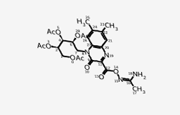 CC(=O)OC[C@@H](OC(C)=O)[C@@H](OC(C)=O)[C@H](Cn1c(=O)c(C(=O)O/N=C(/C)N)nc2cc(C)c(C)cc21)OC(C)=O